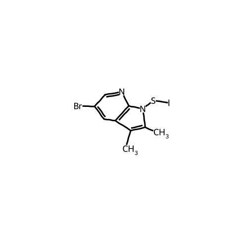 Cc1c(C)n(SI)c2ncc(Br)cc12